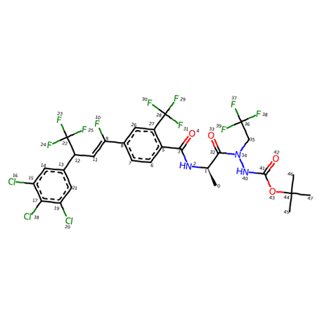 C[C@@H](NC(=O)c1ccc(/C(F)=C/C(c2cc(Cl)c(Cl)c(Cl)c2)C(F)(F)F)cc1C(F)(F)F)C(=O)N(CC(F)(F)F)NC(=O)OC(C)(C)C